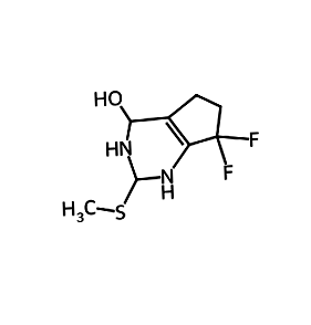 CSC1NC2=C(CCC2(F)F)C(O)N1